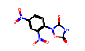 O=c1[nH]c(=O)n(-c2ccc([N+](=O)[O-])cc2[N+](=O)[O-])o1